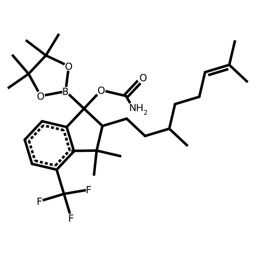 CC(C)=CCCC(C)CCC(C(C)(C)C)C(OC(N)=O)(B1OC(C)(C)C(C)(C)O1)c1cccc(C(F)(F)F)c1